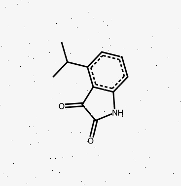 CC(C)c1cccc2c1C(=O)C(=O)N2